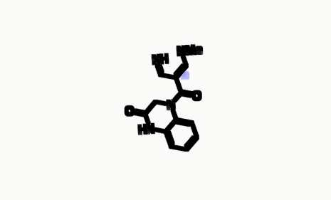 CN/C=C(\C=N)C(=O)N1CC(=O)Nc2ccccc21